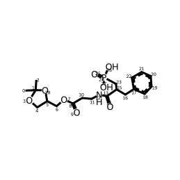 CC1(C)OCC(COC(=O)CCNC(=O)C(Cc2ccccc2)CP(=O)(O)O)O1